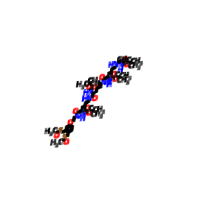 C=C(NCCCC[C@H](NC(=O)OC(C)(C)C)C(=O)NCCCC[C@H](NC(=O)OC(C)(C)C)C(=O)NCCCC[C@H](NC(=O)OC(C)(C)C)C(=O)NCCOc1ccc(CSC(C)=O)c(CSC(C)=O)c1)NC(=O)OC(C)(C)C